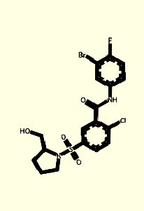 O=C(Nc1ccc(F)c(Br)c1)c1cc(S(=O)(=O)N2CCCC2CO)ccc1Cl